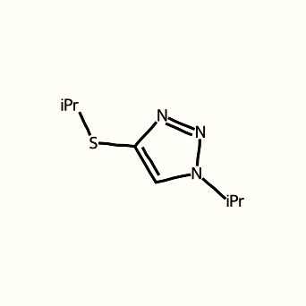 CC(C)Sc1cn(C(C)C)nn1